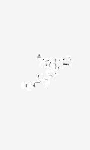 NCCC(=O)N[C@H]1CC[C@H](N(Cc2ccccc2)C(=O)c2cc(C3CC3)on2)CC1